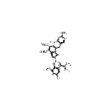 COc1cc(Cc2cnc(N)nc2N)c2cc(COc3c(Cl)cc(Cl)cc3C(=O)N(C)C)oc2c1OC